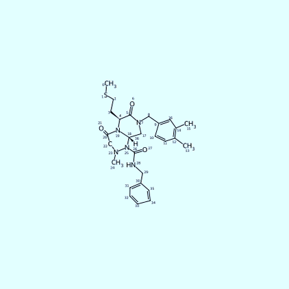 CSCC[C@H]1C(=O)N(Cc2ccc(C)c(C)c2)C[C@H]2N1C(=O)CN(C)N2C(=O)NCc1ccccc1